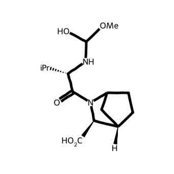 COC(O)N[C@H](C(=O)N1C2CC[C@@H](C2)[C@H]1C(=O)O)C(C)C